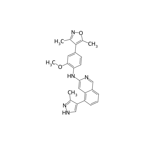 COc1cc(-c2c(C)noc2C)ccc1Nc1cc2c(-c3c[nH]nc3C)cccc2cn1